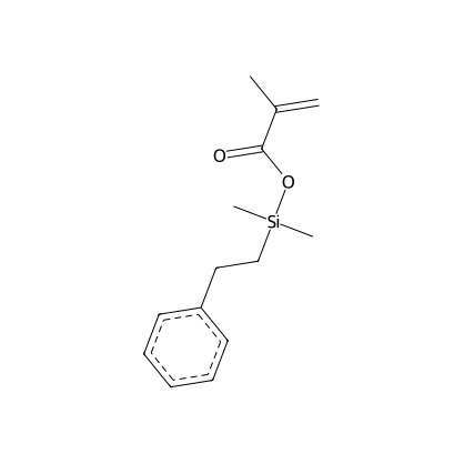 C=C(C)C(=O)O[Si](C)(C)CCc1ccccc1